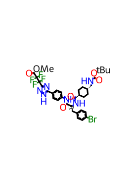 COC(=O)C(F)(F)C(F)(F)c1n[nH]c(-c2ccc(NC(=O)[C@H](Cc3ccc(Br)cc3)NC(=O)[C@H]3CC[C@H](CNC(=O)OC(C)(C)C)CC3)cc2)n1